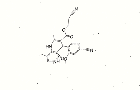 COc1cc(C#N)ccc1C1C(C(=O)OCCC#N)=C(C)Nc2c(C)c[nH]c(=O)c21